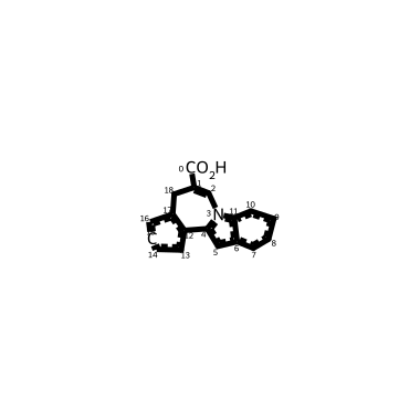 O=C(O)C1=Cn2c(cc3ccccc32)-c2ccccc2C1